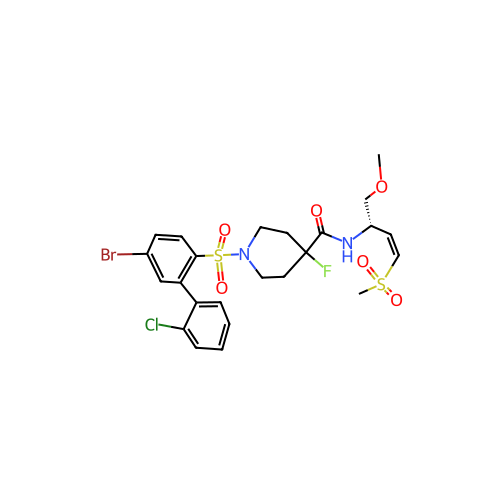 COC[C@H](/C=C\S(C)(=O)=O)NC(=O)C1(F)CCN(S(=O)(=O)c2ccc(Br)cc2-c2ccccc2Cl)CC1